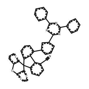 N#Cc1cccc2c1-c1c(-c3cccc(-c4nc(-c5ccccc5)nc(-c5ccccc5)n4)c3)cccc1C21c2ccccc2Oc2ccccc21